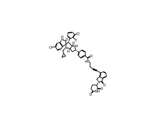 O=C1CCC(N2Cc3c(C#CCCNC(=O)c4ccc([C@H]5C[C@H]6[C@@H](N5)[C@H](c5cccc(Cl)c5F)[C@]5(C(=O)Nc7cc(Cl)ccc75)N6CC5CC5)cc4)cccc3C2=O)C(=O)N1